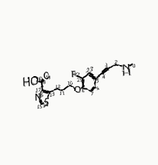 CNCC#Cc1ccc(OCCCc2scnc2C(=O)O)c(F)c1